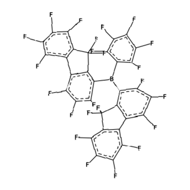 Fc1c(F)c(F)c(B(c2c(F)c(F)c(F)c3c2C(F)(F)c2c(F)c(F)c(F)c(F)c2-3)c2c(F)c(F)c(F)c3c2C(F)(F)c2c(F)c(F)c(F)c(F)c2-3)c(F)c1F